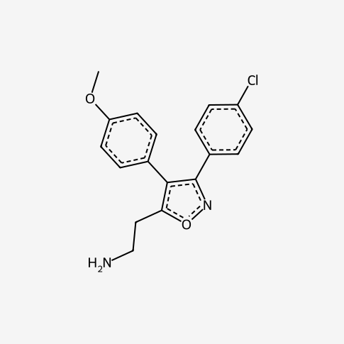 COc1ccc(-c2c(-c3ccc(Cl)cc3)noc2CCN)cc1